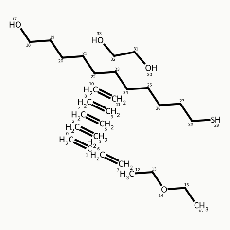 C=C.C=C.C=C.C=C.C=C.C=C.CCOCC.OCCCCCCCCCCCS.OCCO